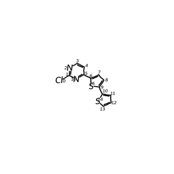 Clc1nccc(-c2ccc(-c3cccs3)s2)n1